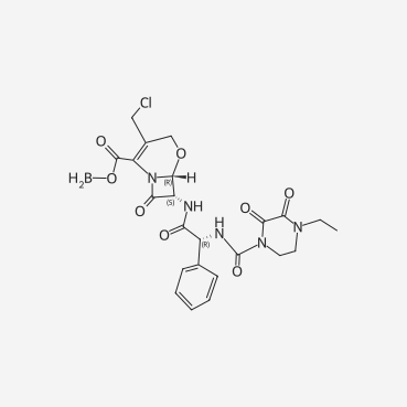 BOC(=O)C1=C(CCl)CO[C@@H]2[C@H](NC(=O)[C@H](NC(=O)N3CCN(CC)C(=O)C3=O)c3ccccc3)C(=O)N12